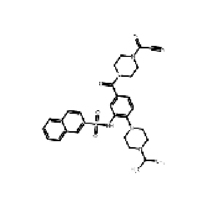 CC(C)N1CCN(c2ccc(C(=O)N3CCN(C(=O)C#N)CC3)cc2NS(=O)(=O)c2ccc3ccccc3c2)CC1